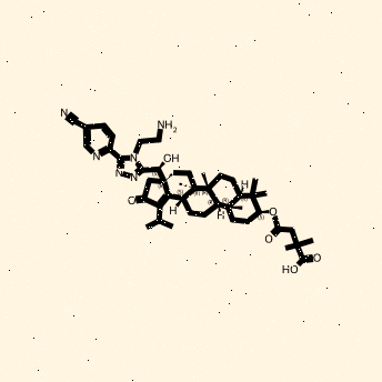 CC(C)C1=C2[C@H]3CC[C@@H]4[C@@]5(C)CC[C@H](OC(=O)CC(C)(C)C(=O)O)C(C)(C)[C@@H]5CC[C@@]4(C)[C@]3(C)CC[C@@]2([C@H](O)c2nnc(-c3ccc(C#N)cn3)n2CCN)CC1=O